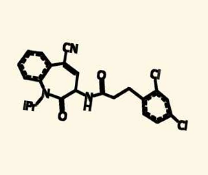 CC(C)N1C(=O)C(NC(=O)CCc2ccc(Cl)cc2Cl)C=C(C#N)c2ccccc21